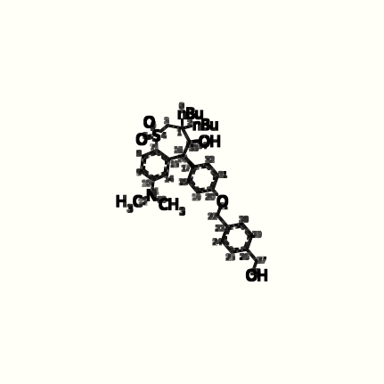 CCCCC1(CCCC)CS(=O)(=O)c2ccc(N(C)C)cc2[C@H](c2ccc(OCc3ccc(CO)cc3)cc2)[C@@H]1O